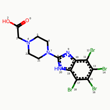 O=C(O)CN1CCN(c2nc3c(Br)c(Br)c(Br)c(Br)c3[nH]2)CC1